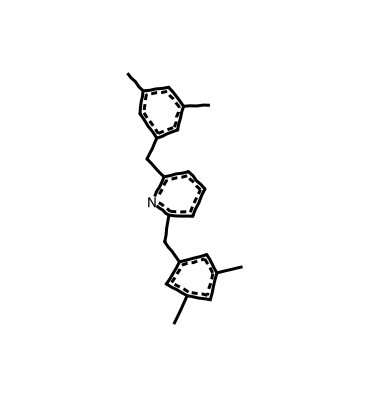 Cc1cc(C)cc(Cc2cccc(Cc3cc(C)cc(C)c3)n2)c1